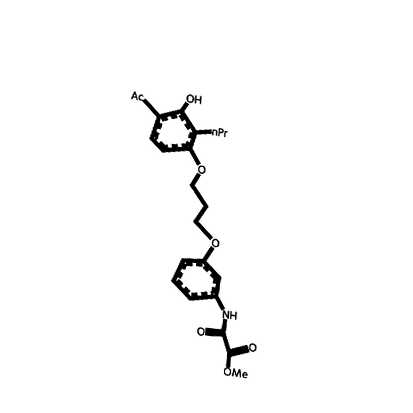 CCCc1c(OCCCOc2cccc(NC(=O)C(=O)OC)c2)ccc(C(C)=O)c1O